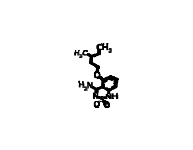 CCC(C)CCOc1cccc2c1C(N)=NS(=O)(=O)N2